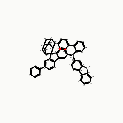 c1ccc(-c2ccc3c(c2)C2(c4ccc(N(c5ccc6c(c5)oc5ccccc56)c5ccccc5-c5ccccc5)cc4-3)C3CC4CC(C3)CC2C4)cc1